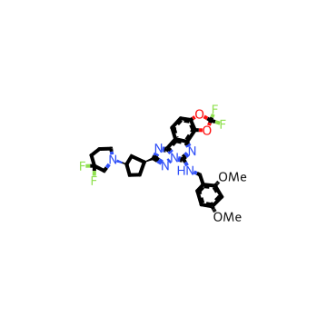 COc1ccc(CNc2nc3c4c(ccc3c3nc([C@H]5CC[C@@H](N6CCCC(F)(F)C6)C5)nn23)OC(F)(F)O4)c(OC)c1